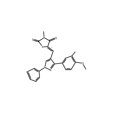 COc1ccc(-c2nn(-c3ccccc3)cc2/C=C2\SC(=S)N(C)C2=O)cc1C